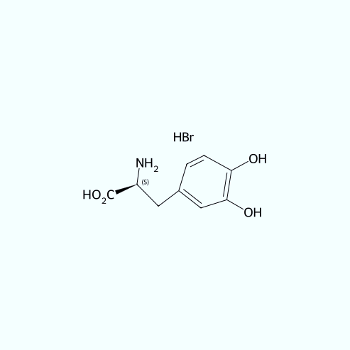 Br.N[C@@H](Cc1ccc(O)c(O)c1)C(=O)O